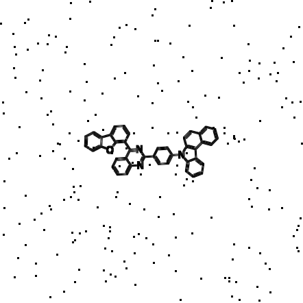 c1ccc2c(c1)ccc1c2c2ccccc2n1-c1ccc(-c2nc(-c3cccc4c3oc3ccccc34)c3ccccc3n2)cc1